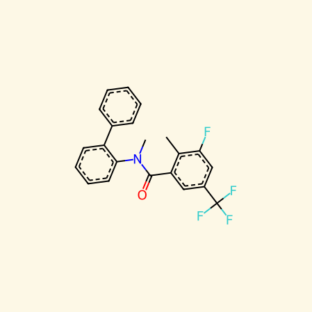 Cc1c(F)cc(C(F)(F)F)cc1C(=O)N(C)c1ccccc1-c1ccccc1